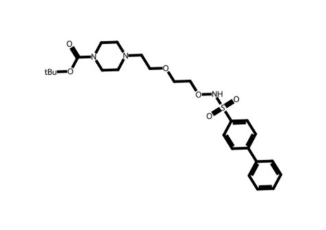 CC(C)(C)OC(=O)N1CCN(CCOCCONS(=O)(=O)c2ccc(-c3ccccc3)cc2)CC1